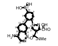 CNC(=O)c1cnn(-c2ccc(B(O)O)cc2-c2ccc3c(N)cnnc3c2)c1.O=CO